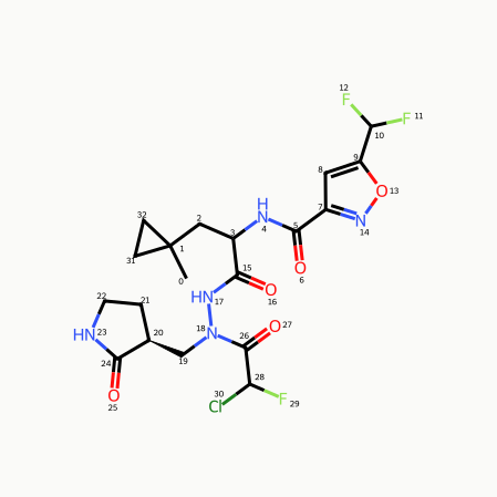 CC1(CC(NC(=O)c2cc(C(F)F)on2)C(=O)NN(C[C@@H]2CCNC2=O)C(=O)C(F)Cl)CC1